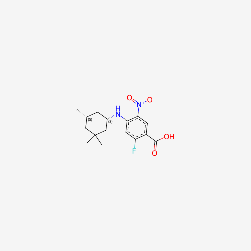 C[C@@H]1C[C@H](Nc2cc(F)c(C(=O)O)cc2[N+](=O)[O-])CC(C)(C)C1